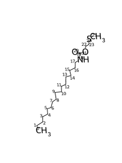 CCCCCCCCCCCCCCCCCCNC(=O)OCCSC